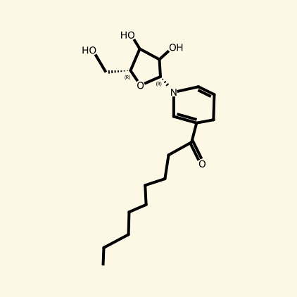 CCCCCCCCC(=O)C1=CN([C@@H]2O[C@H](CO)C(O)C2O)C=CC1